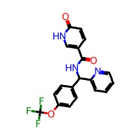 O=C(NC(c1ccc(OC(F)(F)F)cc1)c1ccccn1)c1ccc(=O)[nH]c1